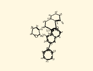 C1=C2c3ccc4cc(-c5ccccc5)ccc4c3CCC2CCC1.C1=CCOCC1